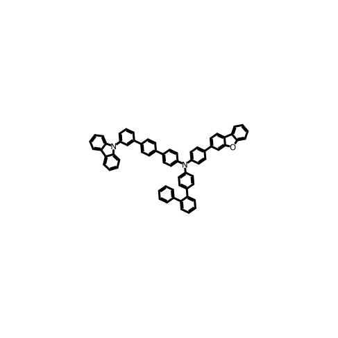 c1ccc(-c2ccccc2-c2ccc(N(c3ccc(-c4ccc(-c5cccc(-n6c7ccccc7c7ccccc76)c5)cc4)cc3)c3ccc(-c4ccc5c(c4)oc4ccccc45)cc3)cc2)cc1